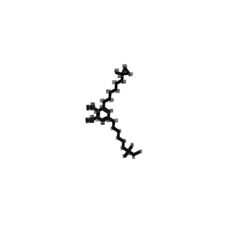 CCC(C)(C)CCCCCCc1cc(O)c(O)c(CCCCCCC2(C)CC2)c1